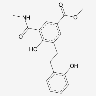 CNC(=O)c1cc(C(=O)OC)cc(CCc2ccccc2O)c1O